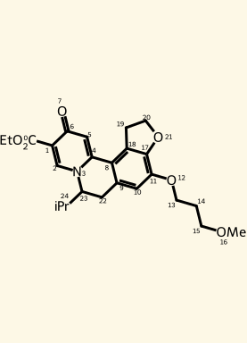 CCOC(=O)c1cn2c(cc1=O)-c1c(cc(OCCCOC)c3c1CCO3)CC2C(C)C